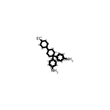 CCC1CCC(C2CCC(c3ccc(N)cc3)(c3ccc(N)cc3)CC2)CC1